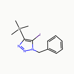 C[Si](C)(C)c1nnn(Cc2ccccc2)c1I